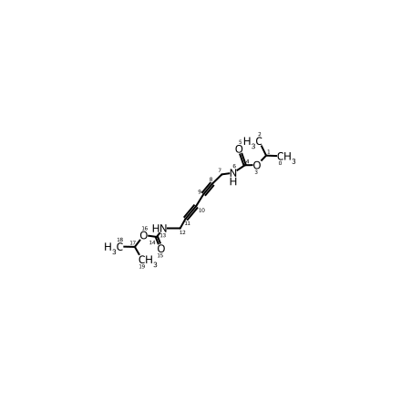 CC(C)OC(=O)NCC#CC#CCNC(=O)OC(C)C